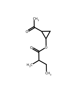 CCC(C)C(=O)OC1CC1C(C)=O